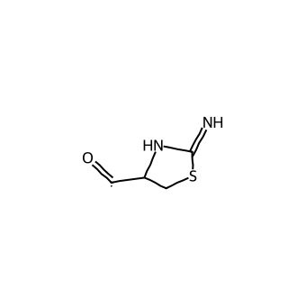 N=C1NC([C]=O)CS1